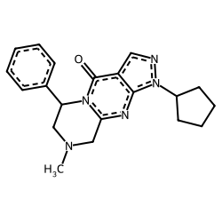 CN1Cc2nc3c(cnn3C3CCCC3)c(=O)n2C(c2ccccc2)C1